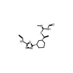 C=CNc1nnc([C@@H]2CCC[C@H](C(=C)S/C(=N\C)NC=O)C2)s1